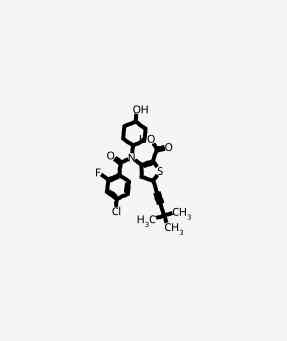 CC(C)(C)C#CC1CC(N(C(=O)c2ccc(Cl)cc2F)C2CCC(O)CC2)=C(C(=O)O)S1